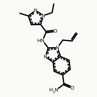 C=CCn1c(NC(=O)c2cc(C)nn2CC)nc2cc(C(N)=O)ccc21